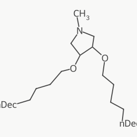 CCCCCCCCCCCCCCOC1CN(C)CC1OCCCCCCCCCCCCCC